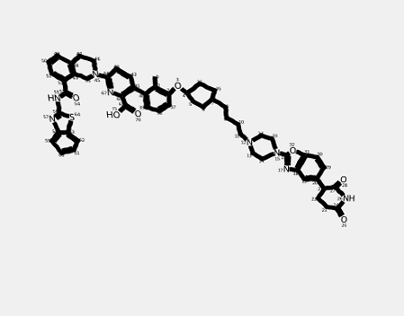 Cc1c(OC2CCC(CCCCN3CCN(c4nc5cc(C6CCC(=O)NC6=O)ccc5o4)CC3)CC2)cccc1-c1ccc(N2CCc3cccc(C(=O)Nc4nc5ccccc5s4)c3C2)nc1C(=O)O